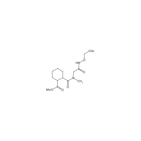 COC(=O)C1CCCCC1C(=O)N(C)CC(=O)NOCOC(C)=O